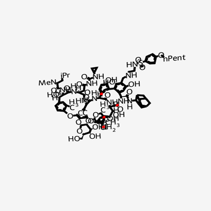 CCCCCOc1ccc(S(=O)(=O)NCCNCc2c(O)cc3c(c2O)-c2cc(ccc2O)[C@H]2NC(=O)[C@@H]4NC(=O)[C@H](CC(=O)NC(=O)NC5CC5)NC(=O)[C@H](NC(=O)[C@@H](CC(C)C)NC)[C@H](O)c5ccc(c(C)c5)Oc5cc4cc(c5O[C@@H]4O[C@H](CO)[C@@H](O)[C@H](O)[C@H]4O[C@H]4C[C@](C)(N)[C@H](O)[C@H](C)O4)Oc4ccc(cc4Cl)[C@@H](O)[C@H](NC2=O)C(=O)N[C@@H]3C(=O)NC2C3CC4CC(C3)CC2C4)cc1